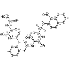 CC[C@H](C)[C@H](NC(=O)C[C@H](O)[C@H](Cc1ccccc1)NC(=O)[C@@H](NC(=O)C(C)(C)Oc1ccc2ccccc2c1C=O)C(C)C)C(=O)N[C@H](C(=O)O)C(C)C